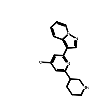 Clc1cc(-c2cnn3ccccc23)nc(C2CCCNC2)c1